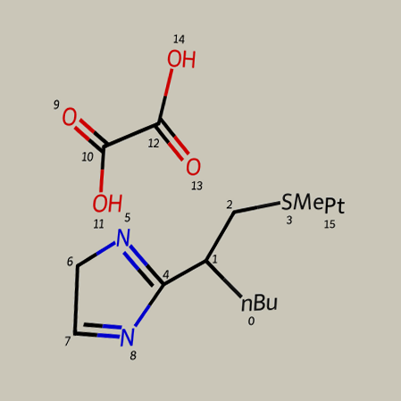 CCCCC(CSC)C1=NCC=N1.O=C(O)C(=O)O.[Pt]